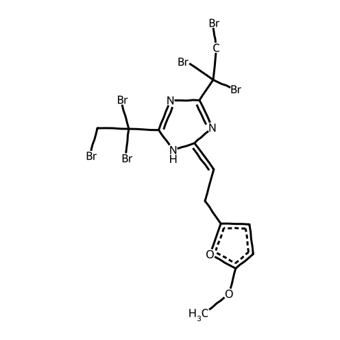 COc1ccc(C/C=C2/N=C(C(Br)(Br)CBr)N=C(C(Br)(Br)CBr)N2)o1